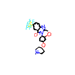 COc1cc(OC2CCN(C)CC2)ccc1-n1c(C)nc2ccc(S(F)(F)(F)(F)F)cc2c1=O